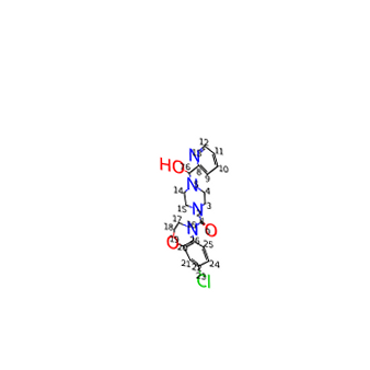 O=C(N1CCN(C(O)c2ccccn2)CC1)N1CCOc2cc(Cl)ccc21